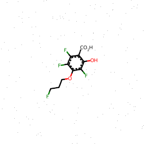 O=C(O)c1c(O)c(F)c(OCCCF)c(F)c1F